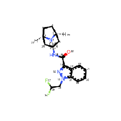 CN1[C@@H]2CC[C@H]1C[C@@H](NC(=O)c1nn(CC(F)F)c3ccccc13)C2